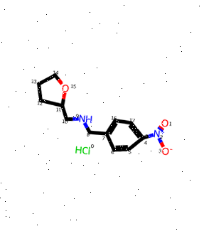 Cl.O=[N+]([O-])c1ccc(CNCC2CCCO2)cc1